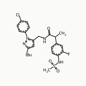 CC(C(=O)NCc1cc(C(C)(C)C)nn1-c1ccc(Cl)cc1)c1ccc(NS(C)(=O)=O)c(F)c1